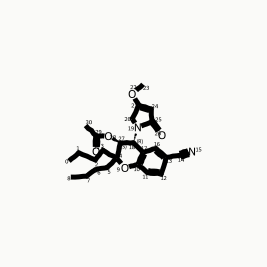 CCCCC1(CCCC)Oc2ccc(C#N)cc2[C@@H](N2CC(OC)=CC2=O)[C@@H]1OC(C)=O